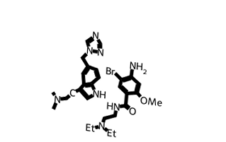 CCN(CC)CCNC(=O)c1cc(Br)c(N)cc1OC.CN(C)CCc1c[nH]c2ccc(Cn3cncn3)cc12